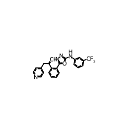 C=C(Cc1ccncc1)c1ccccc1-c1nnc(Nc2cccc(C(F)(F)F)c2)o1